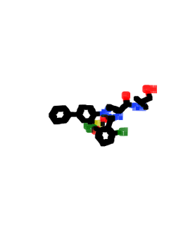 CC(C)(CO)NC(=O)c1cn(C2=CC=C(c3ccccc3)CC2(Cl)S(C)(=O)=O)c(-c2c(Cl)cccc2Cl)n1